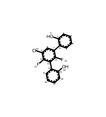 Oc1ccccc1-c1cc(Cl)c(F)c(-c2ccccc2O)c1F